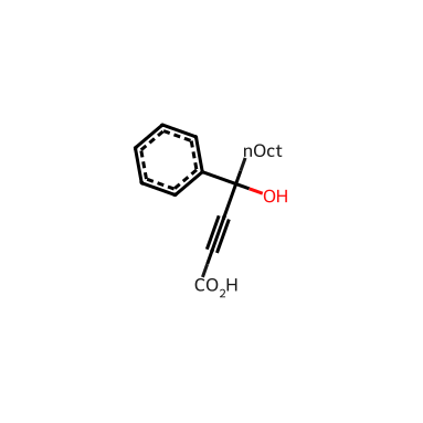 CCCCCCCCC(O)(C#CC(=O)O)c1ccccc1